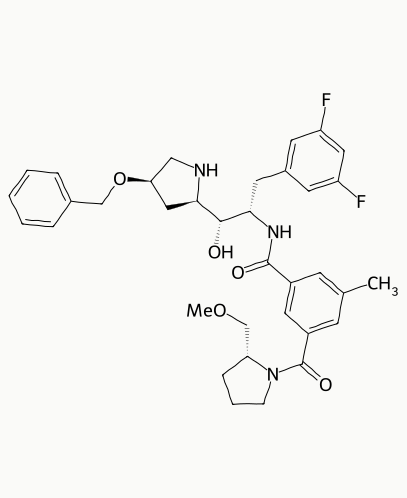 COC[C@H]1CCCN1C(=O)c1cc(C)cc(C(=O)N[C@@H](Cc2cc(F)cc(F)c2)[C@H](O)[C@H]2C[C@@H](OCc3ccccc3)CN2)c1